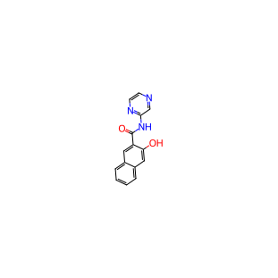 O=C(Nc1cnccn1)c1cc2ccccc2cc1O